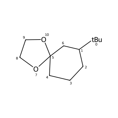 CC(C)(C)C1CCCC2(C1)OCCO2